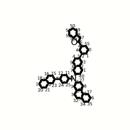 c1cc(-c2ccc3cc(N(c4ccc(-c5ccc6ccccc6c5)cc4)c4ccc5c(ccc6ccccc65)c4)ccc3c2)cc(-c2cc3ccccc3o2)c1